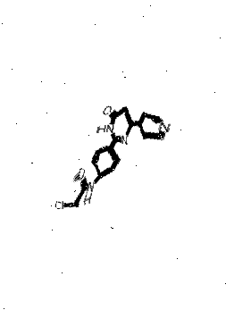 O=C(CCl)Nc1ccc(-c2nc(-c3ccncc3)cc(=O)[nH]2)cc1